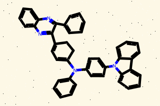 C1=C(c2nc3ccccc3nc2-c2ccccc2)CCC(N(c2ccccc2)c2ccc(-n3c4ccccc4c4ccccc43)cc2)=C1